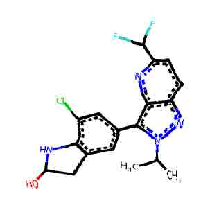 CC(C)n1nc2ccc(C(F)F)nc2c1-c1cc(Cl)c2c(c1)CC(O)N2